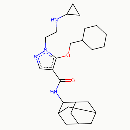 O=C(NC1C2CC3CC(C2)CC1C3)c1cnn(CCNC2CC2)c1OCC1CCCCC1